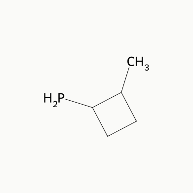 CC1CCC1P